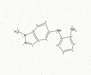 Cn1ncc2cc(Nc3ccccc3[N+](=O)[O-])ccc21